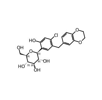 OC[C@H]1O[C@@H](c2cc(Cc3ccc4c(c3)OCCO4)c(Cl)cc2O)[C@H](O)[C@@H](O)[C@@H]1O